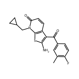 Cc1cc(C(=O)c2c(N)sc3c2ccc(=O)n3CC2CC2)ccc1F